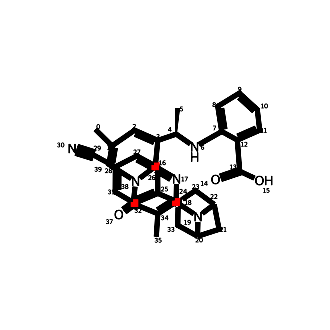 Cc1cc([C@@H](C)Nc2ccccc2C(=O)O)c2nc(N3C4CC3CN(c3ccc(C#N)cc3)C4)c(C)c(=O)n2c1